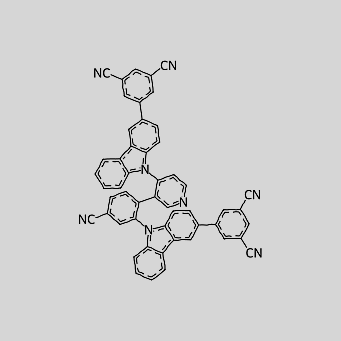 N#Cc1cc(C#N)cc(-c2ccc3c(c2)c2ccccc2n3-c2ccncc2-c2ccc(C#N)cc2-n2c3ccccc3c3cc(-c4cc(C#N)cc(C#N)c4)ccc32)c1